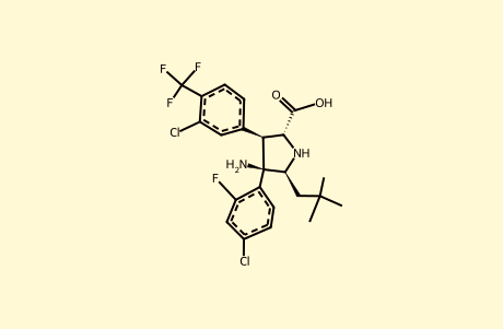 CC(C)(C)C[C@@H]1N[C@@H](C(=O)O)[C@H](c2ccc(C(F)(F)F)c(Cl)c2)[C@@]1(N)c1ccc(Cl)cc1F